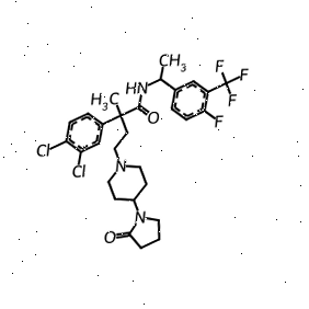 CC(NC(=O)C(C)(CCN1CCC(N2CCCC2=O)CC1)c1ccc(Cl)c(Cl)c1)c1ccc(F)c(C(F)(F)F)c1